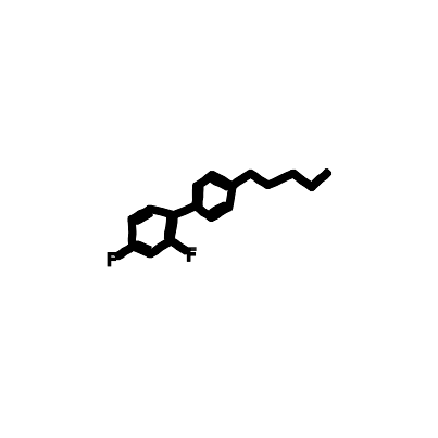 CCCCCc1ccc(-c2ccc(F)cc2F)cc1